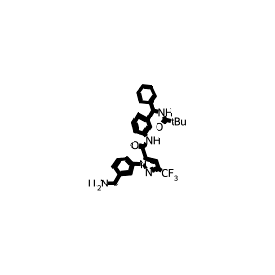 CC(C)(C)C(=O)NC(c1ccccc1)c1cccc(NC(=O)c2cc(C(F)(F)F)nn2-c2cccc(CN)c2)c1